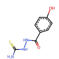 NC(=S)NNC(=O)c1ccc(O)cc1